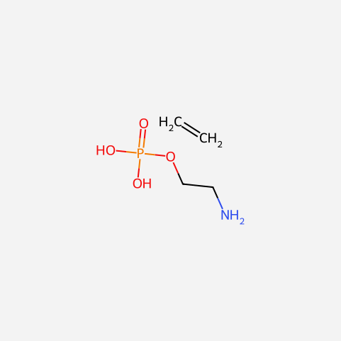 C=C.NCCOP(=O)(O)O